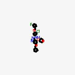 Fc1cccc(COc2ccc(Nc3ncnc4cc(OCc5ccccc5)cc(OC5CCOCC5)c34)cc2Cl)c1